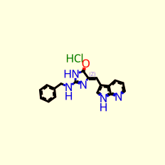 Cl.O=C1NC(NCc2ccccc2)=N/C1=C\c1c[nH]c2ncccc12